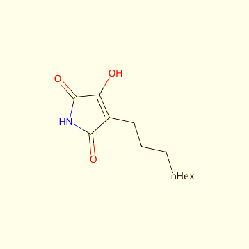 CCCCCCCCCC1=C(O)C(=O)NC1=O